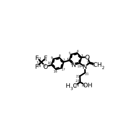 C=C1Oc2ccc(-c3ccc(OC(F)(F)F)cc3)nc2N1CCC(C)O